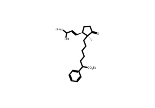 CCCCCCC(O)C=C[C@H]1CCC(=O)[C@@]1(C)CCCCCC(C(=O)OCC)c1ccccc1